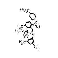 CCN(C[C@H]1CC[C@H](C(=O)O)CC1)c1ccc(C(F)(F)F)cc1CN(Cc1cc(C(F)(F)F)cc(C(F)(F)F)c1)c1nnn(C)n1